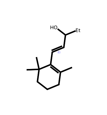 CCC(O)/C=C/C1=C(C)CCCC1(C)C